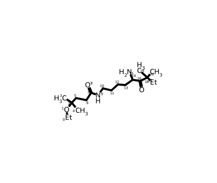 CCOC(C)(C)CCC(=O)NCCCCC(N)C(=O)C(C)(C)CC